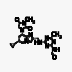 Cc1nc(NC=O)nc(NCc2cn3cc(C4CC4)cc(N4CC(=O)N(C)C4=O)c3n2)n1